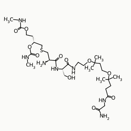 CNC(=O)OCC[C@H](CSC[C@H](N)C(=O)N[C@@H](CO)C(=O)NCCOC(C)(C)CCOC(C)(C)CCC(=O)NCC(N)=O)OC(=O)NC